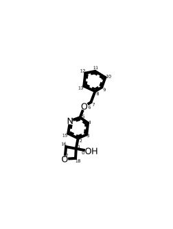 OC1(c2ccc(OCc3ccccc3)nc2)COC1